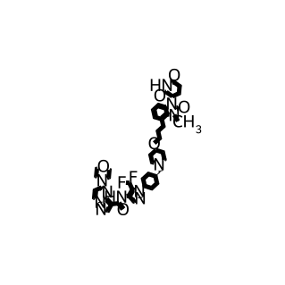 Cn1c(=O)n(C2CCC(=O)NC2=O)c2cccc(CCCOC3CCN(C[C@H]4CC[C@H](n5ncc(NC(=O)c6cnn7ccc(N8CCOCC8)nc67)c5C(F)F)CC4)CC3)c21